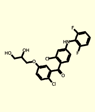 O=C(c1ccc(Nc2c(F)cccc2F)cc1Cl)c1cc(OCC(O)CO)ccc1Cl